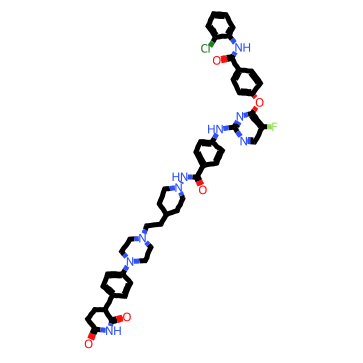 O=C1CCC(c2ccc(N3CCN(CCC4CCN(NC(=O)c5ccc(Nc6ncc(F)c(Oc7ccc(C(=O)Nc8ccccc8Cl)cc7)n6)cc5)CC4)CC3)cc2)C(=O)N1